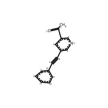 CC(=O)c1cncc(C#Cc2ccccc2)c1